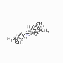 CC(C)[Si](O)(c1ccc(/C=C/c2ccc(N(C)C)cc2)cc1)C(C)C